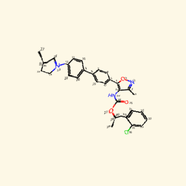 Cc1noc(-c2ccc(-c3ccc(N4CC[C@@H](C)C4)cc3)cc2)c1NC(=O)O[C@H](C)c1ccccc1Cl